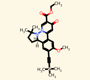 CCOC(=O)c1cn2c(cc1=O)-c1cc(OC)c(C#C[Si](C)(C)C)cc1[C@H]1CCC(C)(C)N12